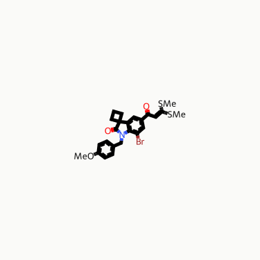 COc1ccc(CN2C(=O)C3(CCC3)c3cc(C(=O)C=C(SC)SC)cc(Br)c32)cc1